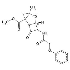 COC(=O)C12CC1(C)S[C@@H]1C(NC(=O)COc3ccccc3)C(=O)N12